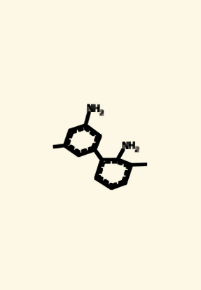 Cc1cc(N)cc(-c2cccc(C)c2N)c1